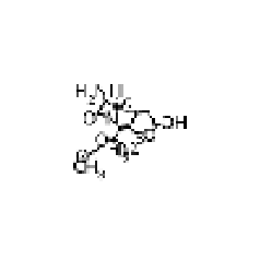 COCOC(=O)C1=C(SC)C(CC(=O)O)S[C@@H]2C(N)C(=O)N12